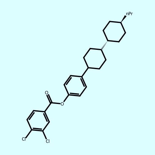 CCC[C@H]1CC[C@H](C2CCC(c3ccc(OC(=O)c4ccc(Cl)c(Cl)c4)cc3)CC2)CC1